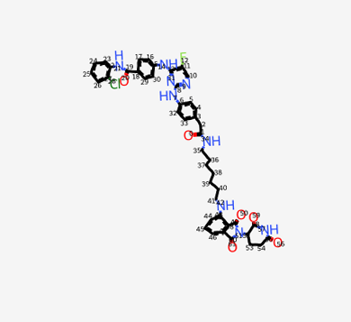 O=C(Cc1ccc(Nc2ncc(F)c(Nc3ccc(C(=O)Nc4ccccc4Cl)cc3)n2)cc1)NCCCCCCCNc1cccc2c1C(=O)N(C1CCC(=O)NC1=O)C2=O